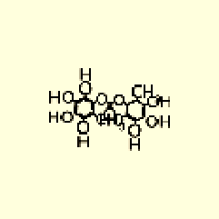 Cc1c(O)c(O)c(O)c(O)c1OC(=O)OC1C(O)=C(O)C(O)=C(O)C1C